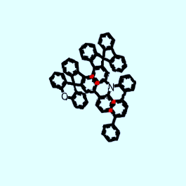 c1ccc(-c2ccc(-c3ccccc3N(c3ccc4c(c3)C3(c5ccccc5-c5ccccc53)c3ccccc3-4)c3ccccc3-c3ccc4c(c3)C3(c5ccccc5Oc5ccccc53)c3ccccc3-4)cc2)cc1